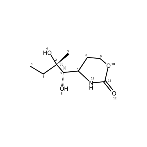 CC[C@](C)(O)[C@@H](O)C1CCOC(=O)N1